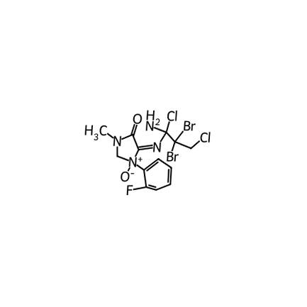 CN1C[N+]([O-])(c2ccccc2F)C(=NC(N)(Cl)C(Br)(Br)CCl)C1=O